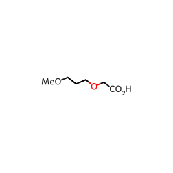 COCCCOCC(=O)O